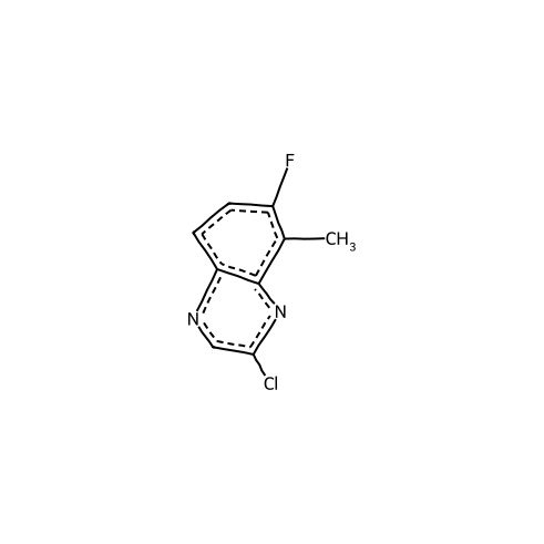 Cc1c(F)ccc2ncc(Cl)nc12